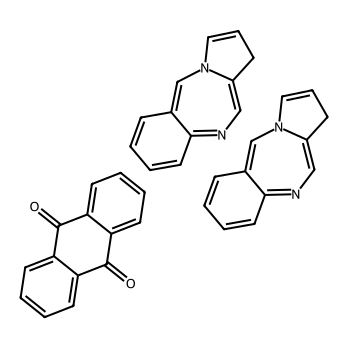 C1=CN2C=c3ccccc3=NC=C2C1.C1=CN2C=c3ccccc3=NC=C2C1.O=C1c2ccccc2C(=O)c2ccccc21